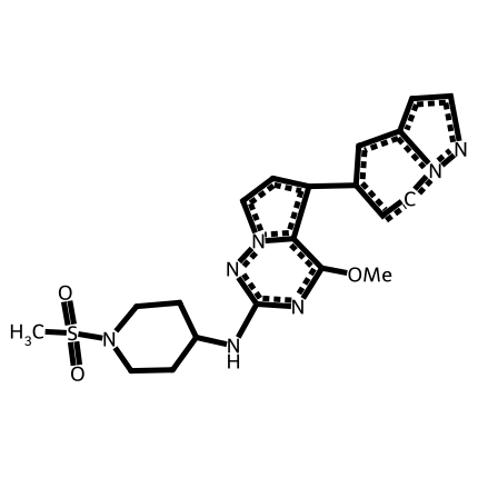 COc1nc(NC2CCN(S(C)(=O)=O)CC2)nn2ccc(-c3ccn4nccc4c3)c12